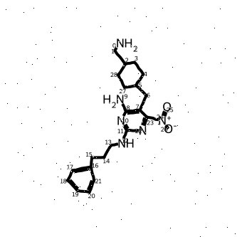 NCC1CCC(Cc2c(N)nc(NCCCc3ccccc3)nc2[N+](=O)[O-])CC1